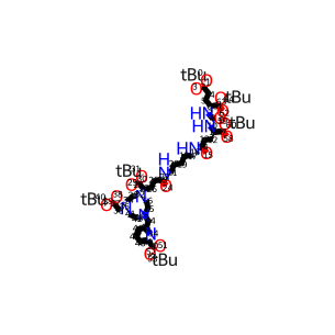 CC(C)(C)OC(=O)CCC(NC(=O)N[C@H](CCC(=O)NCCCCCNC(=O)CCC(C(=O)OC(C)(C)C)N1CCN(CC(=O)OC(C)(C)C)CCN(Cc2cccc(C(=O)OC(C)(C)C)n2)CC1)C(=O)OC(C)(C)C)C(=O)OC(C)(C)C